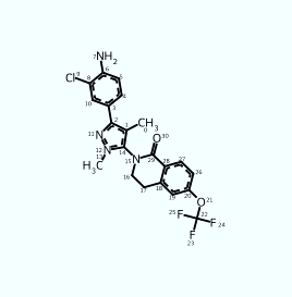 Cc1c(-c2ccc(N)c(Cl)c2)nn(C)c1N1CCc2cc(OC(F)(F)F)ccc2C1=O